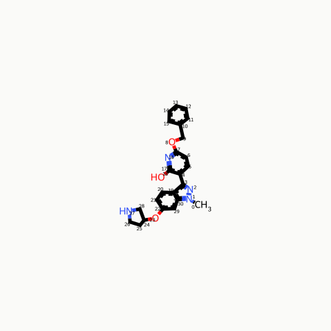 Cn1nc(-c2ccc(OCc3ccccc3)nc2O)c2ccc(OC3CCNC3)cc21